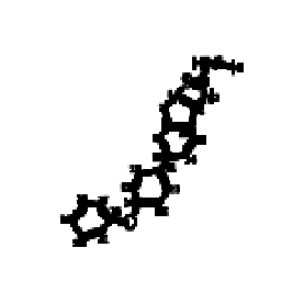 INc1nc2c(s1)Cc1cc(-c3ccc(Oc4ccccc4)cc3)ccc1-2